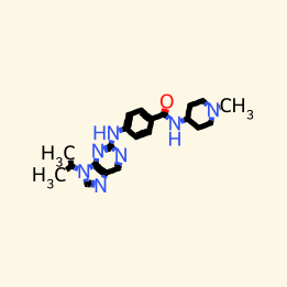 CC(C)n1cnc2cnc(Nc3ccc(C(=O)NC4CCN(C)CC4)cc3)nc21